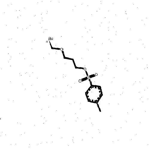 CC[C@H](C)COCCCOS(=O)(=O)c1ccc(C)cc1